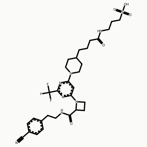 N#Cc1ccc(CCNC(=O)C2CCN2c2cc(N3CCC(CCCC(=O)NCCCS(=O)(=O)O)CC3)nc(C(F)(F)F)n2)cc1